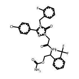 NC(=O)OCC(NC(=O)Cn1nc(-c2ccc(Cl)cc2)n(Cc2ccccc2F)c1=O)c1ccccc1C(F)(F)F